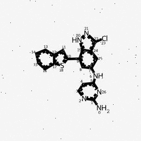 Nc1nccc(Nc2cc(-c3cc4ccccc4s3)c3[nH]nc(Cl)c3c2)n1